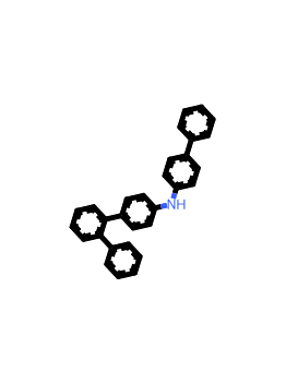 c1ccc(-c2ccc(Nc3ccc(-c4ccccc4-c4ccccc4)cc3)cc2)cc1